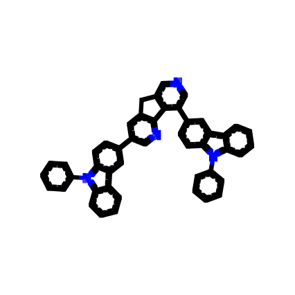 c1ccc(-n2c3ccccc3c3cc(-c4cnc5c(c4)Cc4cncc(-c6ccc7c(c6)c6ccccc6n7-c6ccccc6)c4-5)ccc32)cc1